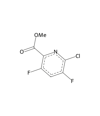 COC(=O)c1nc(Cl)c(F)cc1F